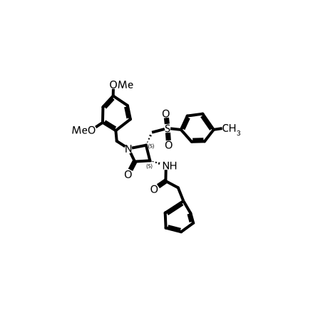 COc1ccc(CN2C(=O)[C@@H](NC(=O)Cc3ccccc3)[C@H]2CS(=O)(=O)c2ccc(C)cc2)c(OC)c1